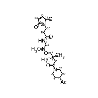 CC(=O)C1CCN(C(=O)CC(C)(C)CON(C)CNC(=O)CCN2C(=O)C=CC2=O)CC1